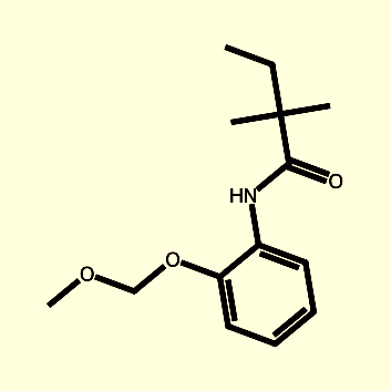 CCC(C)(C)C(=O)Nc1ccccc1OCOC